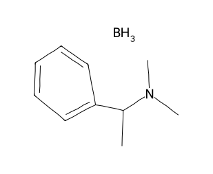 B.CC(c1ccccc1)N(C)C